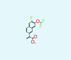 C=C(C(=O)OC)c1ccc2cc(F)c(OC(F)F)cc2c1